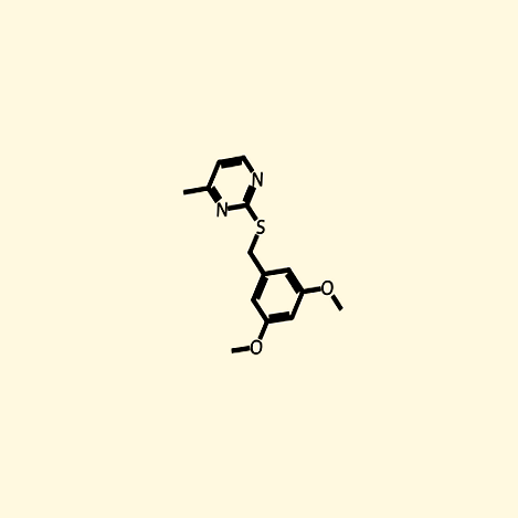 COc1cc(CSc2nccc(C)n2)cc(OC)c1